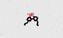 C=CCc1ccc(O)c(-c2cc(CC=C)ccc2O)c1.CCO